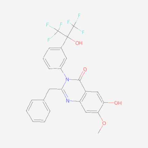 COc1cc2nc(Cc3ccccc3)n(-c3cccc(C(O)(C(F)(F)F)C(F)(F)F)c3)c(=O)c2cc1O